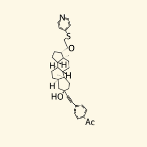 CC(=O)c1ccc(C#C[C@@]2(O)CC[C@@]3(C)[C@H](CC[C@@H]4[C@@H]3CC[C@]3(C)[C@@H](C(=O)CSc5ccncc5)CC[C@@H]43)C2)cc1